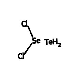 Cl[Se]Cl.[TeH2]